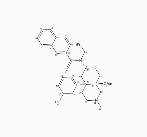 CO[C@]12CC[C@@H](N(CC(C)C)C(=O)c3ccc4ccccc4c3)C[C@]1(c1cccc(O)c1)CCN(C)C2